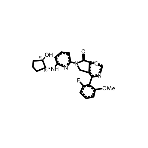 COc1cccc(F)c1-c1nccc2c1CN(c1cccc(N[C@@H]3CCC[C@H]3O)n1)C2=O